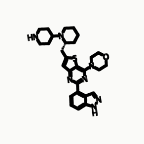 c1cc(-c2nc(N3CCOCC3)c3sc(C[C@H]4CCCCN4C4CCNCC4)cc3n2)c2cn[nH]c2c1